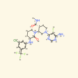 CNC(=O)[C@@H]1CCN(c2ncnc(N)c2F)C[C@H]1N1CCC[C@H](Nc2cc(Cl)cc(C(F)(F)F)c2)C1=O